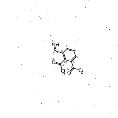 N=Nc1cccc(C(=O)Cl)c1C(=O)Cl